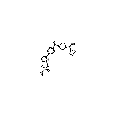 O=C(c1ccc(-c2cccc(OS(=O)(=O)C3CC3)n2)cc1)N1CCN(C(O)C2CCO2)CC1